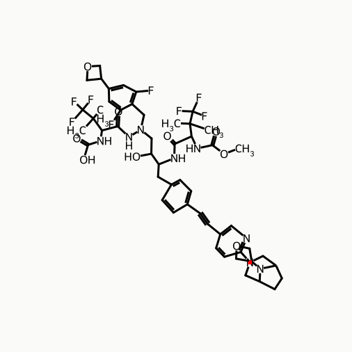 COC(=O)NC(C(=O)NC(Cc1ccc(C#Cc2ccc(N3CC4CCC(C3)N4C3COC3)nc2)cc1)C(O)CN(Cc1c(F)cc(C2COC2)cc1F)NC(=O)C(NC(=O)O)C(C)(C)C(F)(F)F)C(C)(C)C(F)(F)F